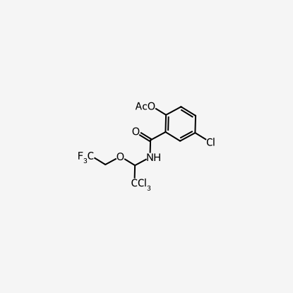 CC(=O)Oc1ccc(Cl)cc1C(=O)NC(OCC(F)(F)F)C(Cl)(Cl)Cl